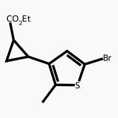 CCOC(=O)C1CC1c1cc(Br)sc1C